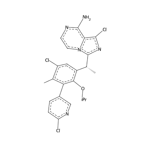 Cc1c(Cl)cc([C@@H](C)c2nc(Cl)c3c(N)nccn23)c(OC(C)C)c1-c1ccc(Cl)nc1